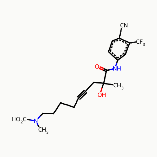 CN(CCCCC#CCC(C)(O)C(=O)Nc1ccc(C#N)c(C(F)(F)F)c1)C(=O)O